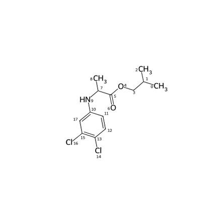 CC(C)COC(=O)C(C)Nc1ccc(Cl)c(Cl)c1